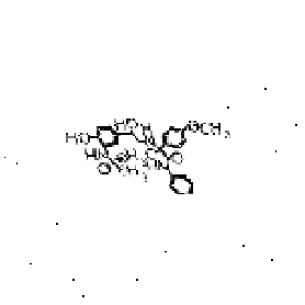 COc1ccc(C(C)(NCC(O)c2ccc(O)c(NS(C)(=O)=O)c2)C(=O)Nc2ccccc2)cc1